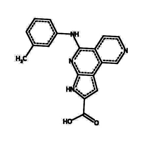 Cc1cccc(Nc2nc3[nH]c(C(=O)O)cc3c3cnccc23)c1